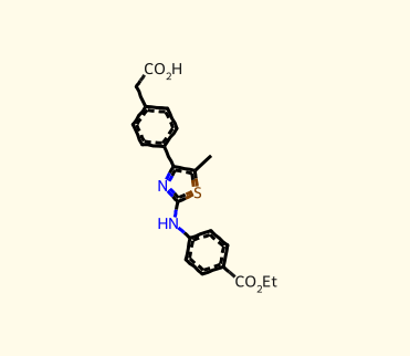 CCOC(=O)c1ccc(Nc2nc(-c3ccc(CC(=O)O)cc3)c(C)s2)cc1